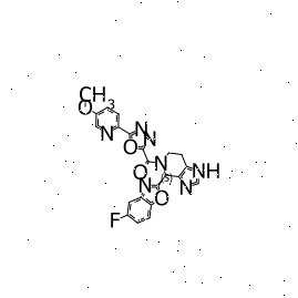 COc1ccc(-c2nnc(C(=O)N3CCc4[nH]cnc4[C@H]3c3nc4cc(F)ccc4o3)o2)nc1